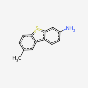 Cc1ccc2sc3cc(N)ccc3c2c1